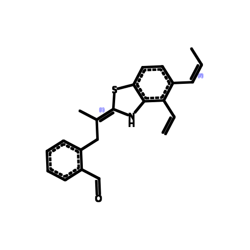 C=Cc1c(/C=C\C)ccc2c1N/C(=C(/C)Cc1ccccc1C=O)S2